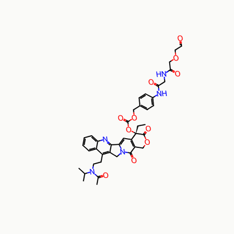 CC[C@@]1(OC(=O)OCc2ccc(NC(=O)CNC(=O)COCC=O)cc2)C(=O)OCc2c1cc1n(c2=O)Cc2c-1nc1ccccc1c2CCN(C(C)=O)C(C)C